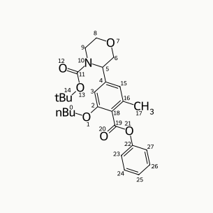 CCCCOc1cc(C2COCCN2C(=O)OC(C)(C)C)cc(C)c1C(=O)Oc1ccccc1